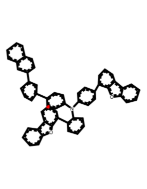 c1cc(-c2ccc(N(c3ccc(-c4cccc5c4oc4ccccc45)cc3)c3ccccc3-c3cccc4c3oc3ccccc34)cc2)cc(-c2ccc3ccccc3c2)c1